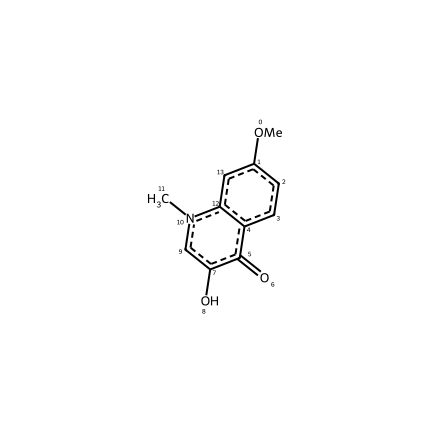 COc1ccc2c(=O)c(O)cn(C)c2c1